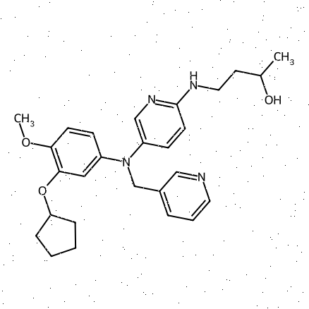 COc1ccc(N(Cc2cccnc2)c2ccc(NCCC(C)O)nc2)cc1OC1CCCC1